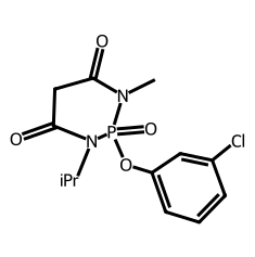 CC(C)N1C(=O)CC(=O)N(C)P1(=O)Oc1cccc(Cl)c1